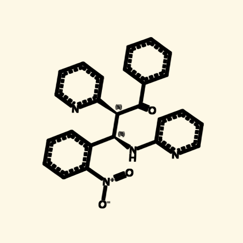 O=C(c1ccccc1)[C@H](c1ccccn1)[C@@H](Nc1ccccn1)c1ccccc1[N+](=O)[O-]